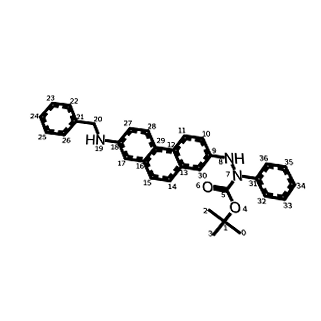 CC(C)(C)OC(=O)N(Nc1ccc2c(ccc3cc(NCc4ccccc4)ccc32)c1)c1ccccc1